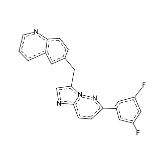 Fc1cc(F)cc(-c2ccc3ncc(Cc4ccc5ncccc5c4)n3n2)c1